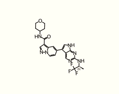 C[C@H](Nc1ncc2c(-c3ccn4ncc(C(=O)NC5CCOCC5)c4c3)c[nH]c2n1)C(F)(F)F